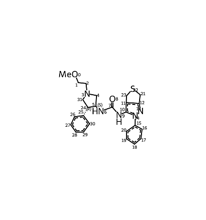 COCCN1C[C@@H](NC(=O)Nc2c3c(nn2-c2ccccc2)CSC3)[C@H](c2ccccc2)C1